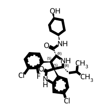 CC(C)C[C@H]1N[C@@H](C(=O)N[C@H]2CC[C@H](O)CC2)[C@H](c2cccc(Cl)c2F)[C@@]12C(=O)Nc1cc(Cl)ccc12